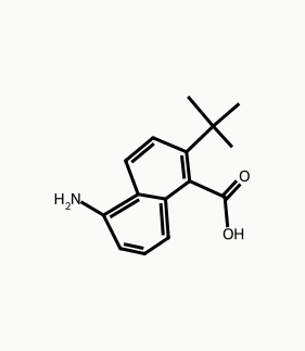 CC(C)(C)c1ccc2c(N)cccc2c1C(=O)O